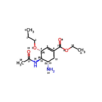 CCCO[C@@H]1C=C(C(=O)OCC)C[C@H](N)[C@H]1NC(C)=O